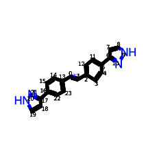 C(=C\c1ccc(-c2cc[nH]n2)cc1)/c1ccc(-c2cc[nH]n2)cc1